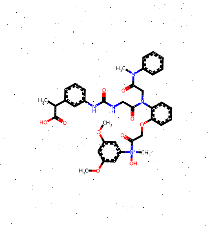 COc1cc(OC)cc([N+](C)(O)C(=O)COc2ccccc2N(CC(=O)N(C)c2ccccc2)C(=O)CNC(=O)Nc2cccc(C(C)C(=O)O)c2)c1